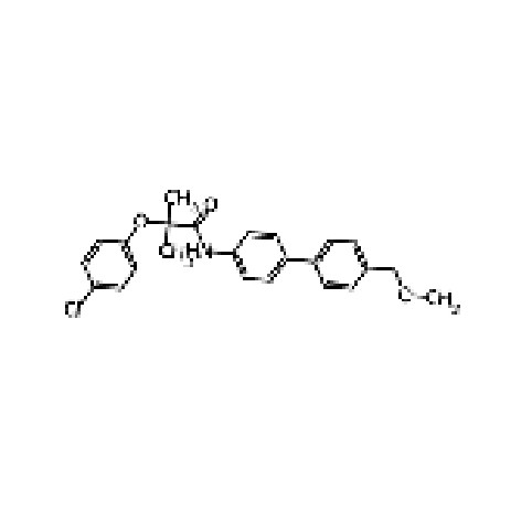 COCc1ccc(-c2ccc(NC(=O)C(C)(C)Oc3ccc(Cl)cc3)cc2)cc1